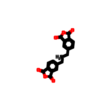 O=C1OC(=O)c2cc(C[SiH2]Cc3ccc4c(c3)C(=O)OC4=O)ccc21